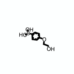 OCCOc1ccc(B(O)O)cc1